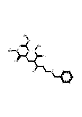 CC(C)(C)OC(=O)N[C@@H](CC(C(=O)OC(C)(C)C)C(O)CCOCc1ccccc1)C(=O)OC(C)(C)C